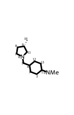 CNC1CCC(CN2CC[C@H](C)C2)CC1